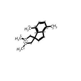 COCC1(COC)C=Cc2c(C)ccc(C)c21